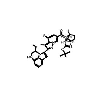 CCC1CNc2cccc3cc(-c4nn5cc(C(=O)N6C[C@H]7CC[C@@H]6[C@@H]7NC(=O)OC(C)(C)C)cc(F)c5c4C)n1c23